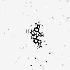 CC(=O)N1CCc2c1ccc1nc(C)nc(NC(C)c3cc(N)cc(C(F)(F)F)c3)c21